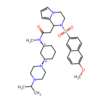 COc1ccc2cc(S(=O)(=O)N3CCn4cccc4C3CC(=O)N(C)[C@H]3CCC[C@@H](N4CCN(C(C)C)CC4)C3)ccc2c1